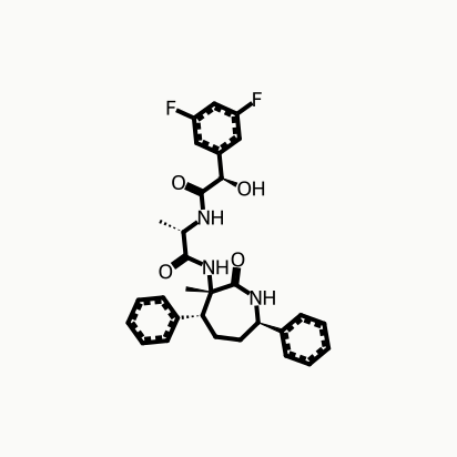 C[C@H](NC(=O)[C@H](O)c1cc(F)cc(F)c1)C(=O)N[C@]1(C)C(=O)N[C@@H](c2ccccc2)CC[C@@H]1c1ccccc1